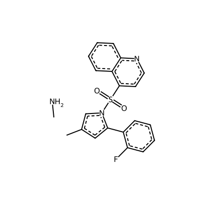 CN.Cc1cc(-c2ccccc2F)n(S(=O)(=O)c2ccnc3ccccc23)c1